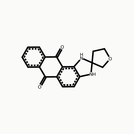 O=C1c2ccccc2C(=O)c2c1ccc1c2NC2(CCOC2)N1